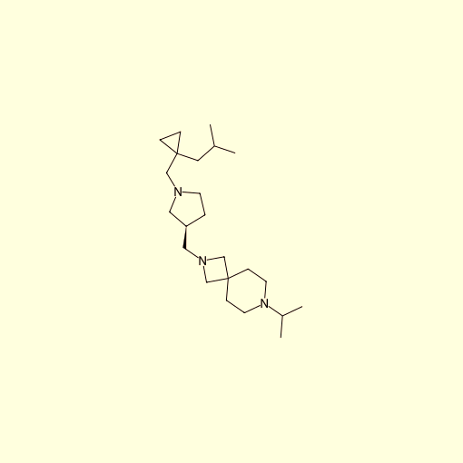 CC(C)CC1(CN2CC[C@@H](CN3CC4(CCN(C(C)C)CC4)C3)C2)CC1